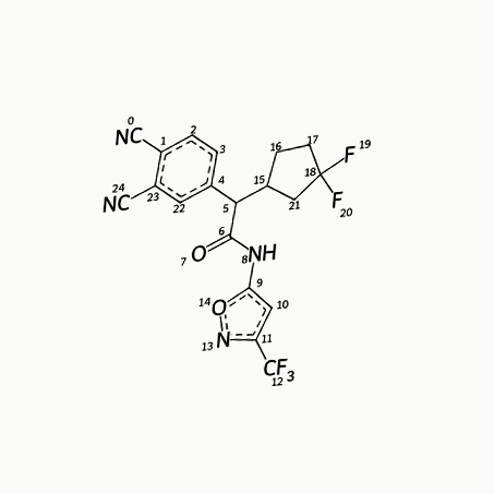 N#Cc1ccc(C(C(=O)Nc2cc(C(F)(F)F)no2)C2CCC(F)(F)C2)cc1C#N